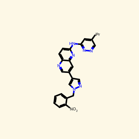 CC(C)c1cnnc(Nc2ccc3ncc(-c4cnn(Cc5ccccc5[N+](=O)[O-])c4)cc3n2)c1